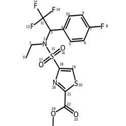 CCN(C(c1ccc(F)cc1)C(F)(F)F)S(=O)(=O)c1csc(C(=O)OC)n1